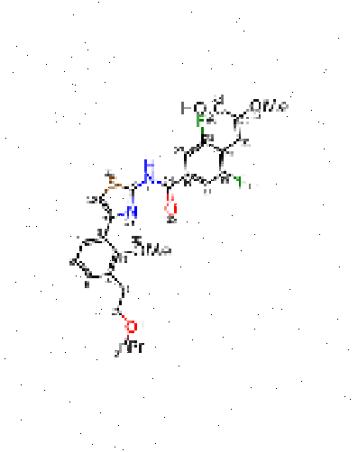 CCCOCCc1cccc(-c2csc(NC(=O)c3cc(F)c(C=C(OC)C(=O)O)c(F)c3)n2)c1OC